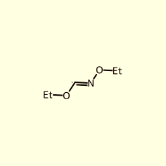 CCO/[C]=N/OCC